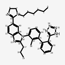 CCCCCCN1CCN=C1c1ccc2nc(CCC)n(-c3cccc(-c4ccccc4-c4nnn[nH]4)c3C)c2c1